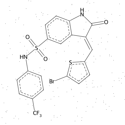 O=C1Nc2ccc(S(=O)(=O)Nc3ccc(C(F)(F)F)cc3)cc2C1=Cc1ccc(Br)s1